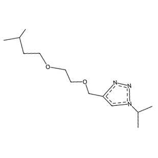 CC(C)CCOCCOCc1cn(C(C)C)nn1